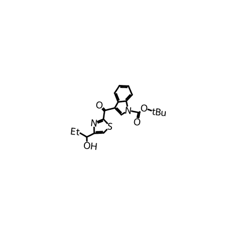 CCC(O)c1csc(C(=O)c2cn(C(=O)OC(C)(C)C)c3ccccc23)n1